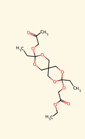 CCOC(=O)COC1(CC)OCC2(COC(CC)(OCC(C)=O)OC2)CO1